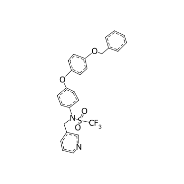 O=S(=O)(N(Cc1cccnc1)c1ccc(Oc2ccc(OCc3ccccc3)cc2)cc1)C(F)(F)F